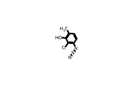 Cc1ccc(N=[N+]=[N-])c(Cl)c1O